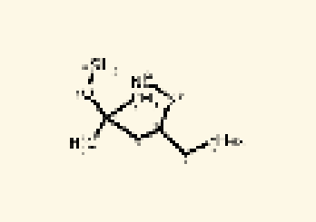 CCCCCCCC(CC(C)(C)O[SiH3])SC#N